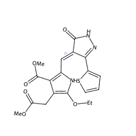 CCOc1[nH]c(/C=C2/C(=O)NN=C2c2cccs2)c(C(=O)OC)c1CC(=O)OC